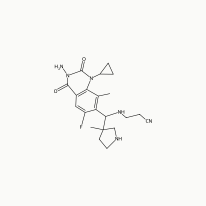 Cc1c(C(NCCC#N)C2(C)CCNC2)c(F)cc2c(=O)n(N)c(=O)n(C3CC3)c12